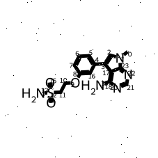 Cn1cc(-c2cccc(OCCS(N)(=O)=O)c2)c2c(N)ncnc21